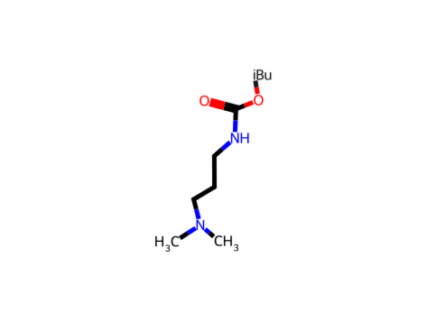 CCC(C)OC(=O)NCCCN(C)C